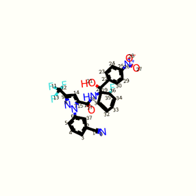 N#Cc1cccc(-n2nc(C(F)(F)F)cc2C(=O)NC2(C(O)c3ccc([N+](=O)[O-])cc3)C=CC=CC2F)c1